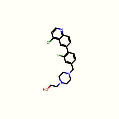 OCCN1CCN(Cc2ccc(-c3ccc4nccc(Cl)c4c3)c(F)c2)CC1